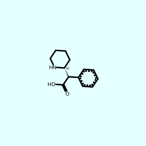 O=C(O)C(c1ccccc1)[C@H]1CCCCN1